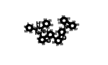 c1ccc(C2=NC(c3cccc4oc5c(-c6cccc7oc8cc(-n9c%10ccccc%10c%10ccccc%109)ccc8c67)cccc5c34)NC(c3ccccc3)N2)cc1